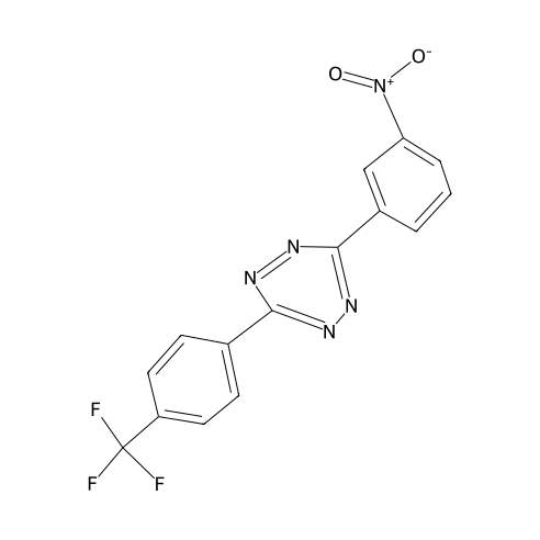 O=[N+]([O-])c1cccc(-c2nnc(-c3ccc(C(F)(F)F)cc3)nn2)c1